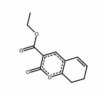 CCOC(=O)c1cc2c(oc1=O)CCC=C2